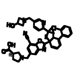 CC1C(c2ccccc2Cl)=CC=CC1(SC1(c2ccc(CN3CC(O)C3)cn2)CC1)c1nc2cc(CN3CC[C@@H](C(=O)O)C3)cc(C#N)c2o1